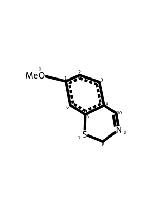 COc1ccc2c(c1)SCN=C2